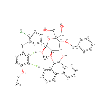 CCOc1ccc(Cc2cc([C@]3(OC)OC(CO)(CO)[C@H](OCc4ccccc4)[C@H](OCc4ccccc4)[C@H]3OCc3ccccc3)ccc2Cl)c(F)c1F